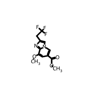 COC(=O)c1cc(OC)c2nc(CC(F)(F)F)cn2c1